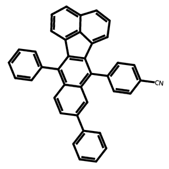 N#Cc1ccc(-c2c3c(c(-c4ccccc4)c4ccc(-c5ccccc5)cc24)-c2cccc4cccc-3c24)cc1